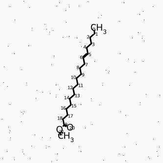 CCCCCC=CCCCCCCCCCCCCC(=O)OC